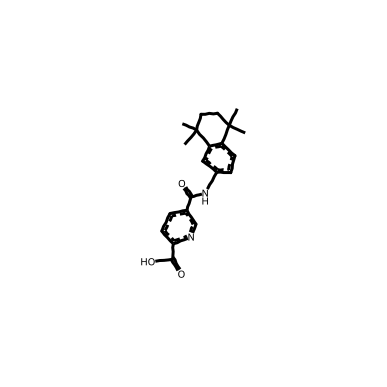 CC1(C)CCC(C)(C)c2cc(NC(=O)c3ccc(C(=O)O)nc3)ccc21